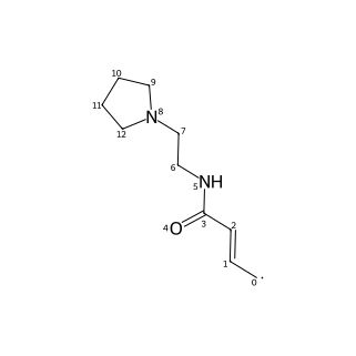 [CH2]C=CC(=O)NCCN1CCCC1